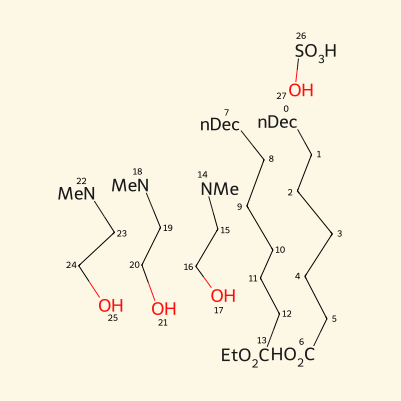 CCCCCCCCCCCCCCCC(=O)O.CCCCCCCCCCCCCCCC(=O)OCC.CNCCO.CNCCO.CNCCO.O=S(=O)(O)O